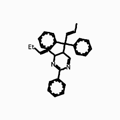 C/C=C/C(c1ccccc1)(c1ccccc1)C1C=NC(c2ccccc2)=NC1/C=C/CC